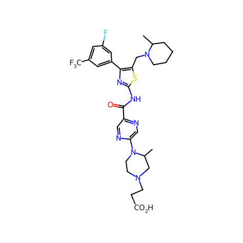 CC1CCCCN1Cc1sc(NC(=O)c2cnc(N3CCN(CCC(=O)O)CC3C)cn2)nc1-c1cc(F)cc(C(F)(F)F)c1